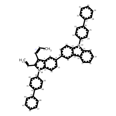 C=Cc1c(/C=C\C)c2cc(-c3ccc4c(c3)c3ccccc3n4-c3ccc(-c4ccccc4)cc3)ccc2n1-c1ccc(-c2ccccc2)cc1